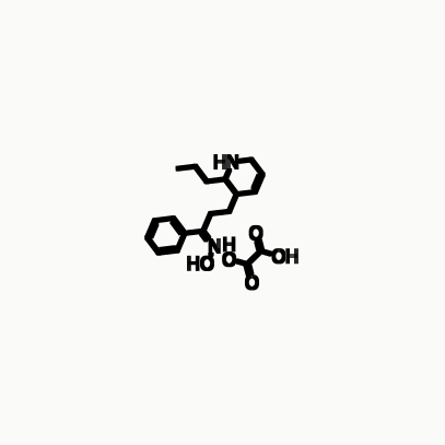 CCCC1NCC=CC1CCC(=NO)c1ccccc1.O=C(O)C(=O)O